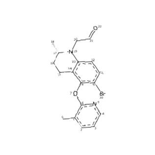 Cc1cccnc1Oc1c(Br)ccc2c1CC[C@H](C)N2CC=O